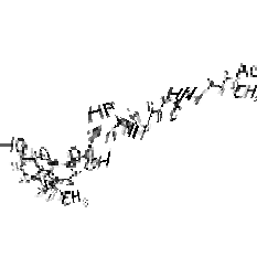 CC(=O)C(C)CCCCNC(=O)CCCCCNC(=P)CCC(O)OC1CCC2C3Cc4ccc(O)c5c4C2(CCN3C)C1O5